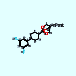 CCCCCC12COC(C3CCC(c4cc(F)cc(F)c4)CC3)(OC1)OC2